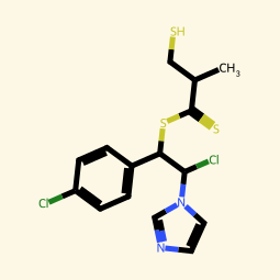 CC(CS)C(=S)SC(c1ccc(Cl)cc1)C(Cl)n1ccnc1